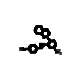 CC(C)(C)c1ccc(CNc2cc(C(F)(F)F)ccc2-c2ccc3cc[c]cc3n2)cc1